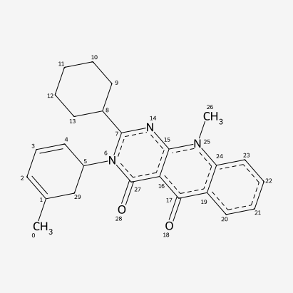 CC1=CC=CC(n2c(C3CCCCC3)nc3c(c(=O)c4ccccc4n3C)c2=O)C1